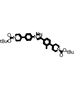 Cc1cc(-c2cn(-c3ccc(C4=CCN(C(=O)OC(C)(C)C)CC4)cc3)nn2)ccc1C1=CCN(C(=O)OC(C)(C)C)CC1